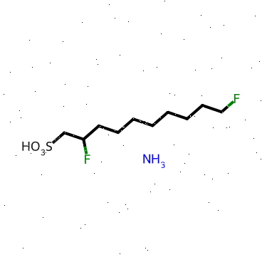 N.O=S(=O)(O)CC(F)CCCCCCCCF